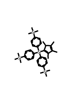 CC1=C(C)C(C)C([Si](c2ccc([Si](C)(C)C)cc2)(c2ccc([Si](C)(C)C)cc2)c2ccc([Si](C)(C)C)cc2)=C1C